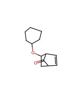 O=C1C2C=CC1C(OC1CCCCC1)C2